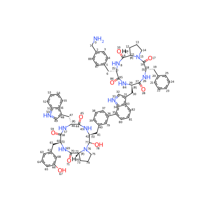 NCc1ccc(C[C@@H]2NC(=O)[C@H]3CCCN3C(=O)[C@H](Cc3ccccc3)NC(=O)[C@@H](Cc3c[nH]c4c(-c5cccc(C[C@@H]6NC(=O)[C@@H](Cc7c[nH]c8ccccc78)NC(=O)[C@H](Cc7cccc(O)c7)NC(=O)[C@H]7CCCN7C6O)c5)cccc34)NC2=O)cc1